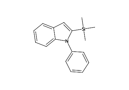 C[Si](C)(C)c1cc2ccccc2n1-c1ccccc1